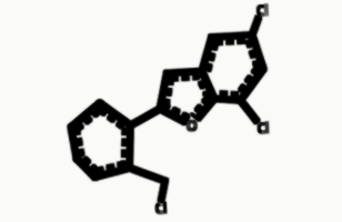 ClCc1ccccc1-c1cc2cc(Cl)cc(Cl)c2o1